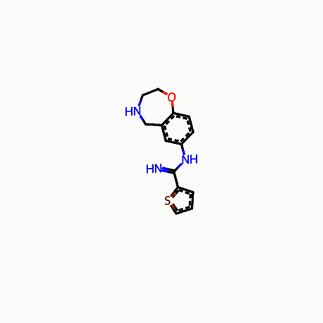 N=C(Nc1ccc2c(c1)CNCCO2)c1cccs1